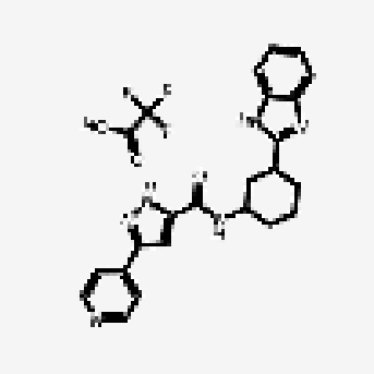 O=C(NC1CCCC(c2nc3ccccc3[nH]2)C1)c1cc(-c2ccncc2)n[nH]1.O=C(O)C(F)(F)F